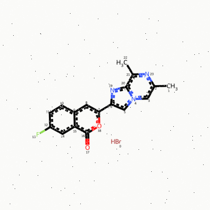 Br.Cc1cn2cc(-c3cc4ccc(F)cc4c(=O)o3)nc2c(C)n1